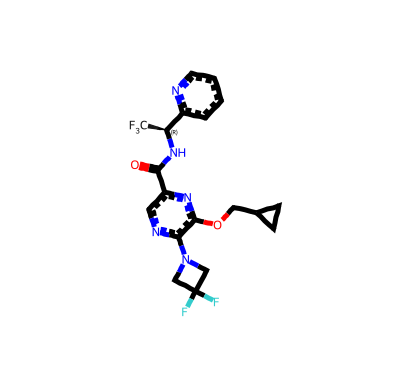 O=C(N[C@H](c1ccccn1)C(F)(F)F)c1cnc(N2CC(F)(F)C2)c(OCC2CC2)n1